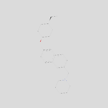 CC[C@H]1CC[C@@H](Oc2ccc3cc(CN4CCCCC4)ccc3c2)CC1